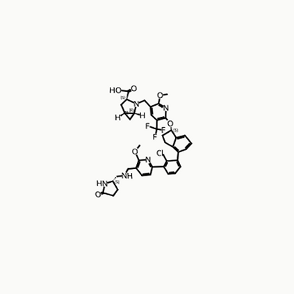 COc1nc(-c2cccc(-c3cccc4c3CC[C@@H]4Oc3nc(OC)c(CN4[C@@H]5C[C@@H]5C[C@H]4C(=O)O)cc3C(F)(F)F)c2Cl)ccc1CNC[C@@H]1CCC(=O)N1